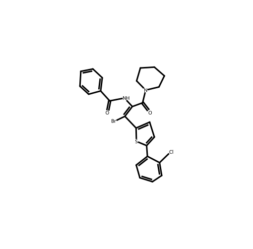 O=C(NC(C(=O)N1CCCCC1)=C(Br)c1ccc(-c2ccccc2Cl)s1)c1ccccc1